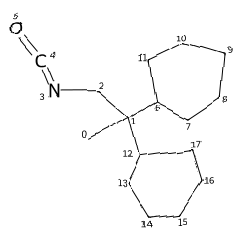 CC(CN=C=O)(C1CCCCC1)C1CCCCC1